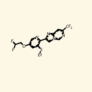 CCSc1cc(OCC(F)F)cnc1-c1cn2cnc(C(F)(F)F)cc2n1